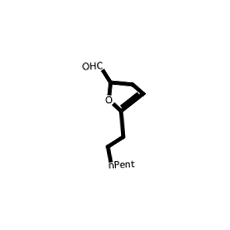 CCCCCCCC1=CCC(C=O)O1